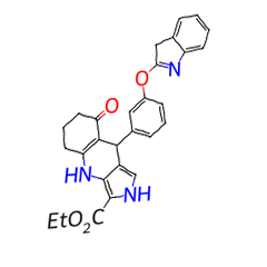 CCOC(=O)c1[nH]cc2c1NC1=C(C(=O)CCC1)C2c1cccc(OC2=Nc3ccccc3C2)c1